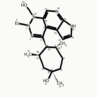 CCN1N=C([C@H]2[C@H](C)CC[C@@](C)(O)C[C@H]2C)c2c(cnc3[nH]ccc23)B1O